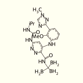 BC(B)(B)NC(=O)c1nnc(NC(=O)NC(C)C)cc1Nc1cccc(-c2ncn(C)n2)c1OC